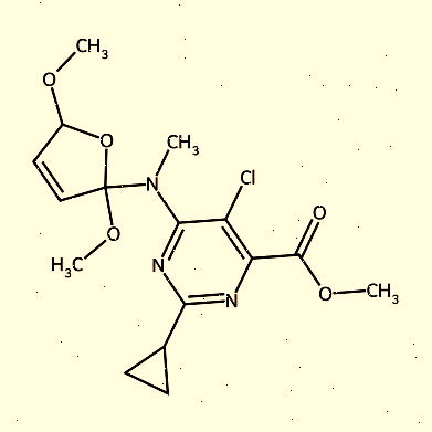 COC(=O)c1nc(C2CC2)nc(N(C)C2(OC)C=CC(OC)O2)c1Cl